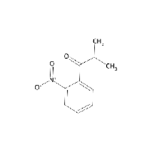 CC(C)C(=O)c1ccccc1[N+](=O)[O-]